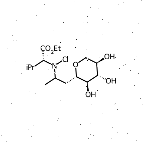 CCOC(=O)[C@@H](C(C)C)N(Cl)C(C)C[C@@H]1OC[C@@H](O)[C@H](O)[C@H]1O